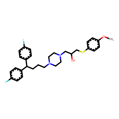 COc1ccc(SCC(O)CN2CCN(CCCC(c3ccc(F)cc3)c3ccc(F)cc3)CC2)cc1